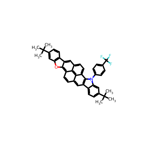 CC(C)(C)c1ccc2c(c1)oc1c2cc2ccc3c4c(ccc1c24)cc1c2ccc(C(C)(C)C)cc2n(-c2ccc(C(F)(F)F)cc2)c13